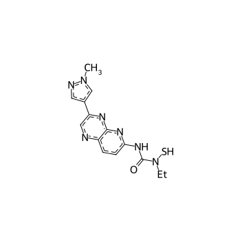 CCN(S)C(=O)Nc1ccc2ncc(-c3cnn(C)c3)nc2n1